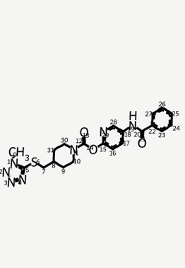 Cn1nnnc1SCC1CCN(C(=O)Oc2ccc(NC(=O)c3ccccc3)cn2)CC1